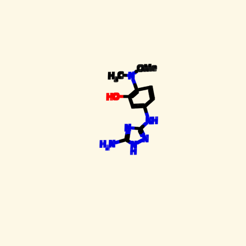 CON(C)c1ccc(Nc2n[nH]c(N)n2)cc1O